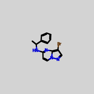 CC(Nc1ccn2ncc(Br)c2n1)c1ccccc1